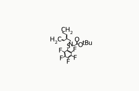 C=C/C=C(\C=C)CN(CC(=O)OC(C)(C)C)Sc1c(F)c(F)c(F)c(F)c1F